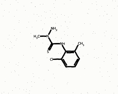 Cc1cccc(Cl)c1NC(=S)N(C)N